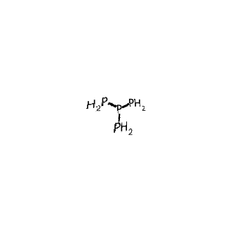 PP(P)P